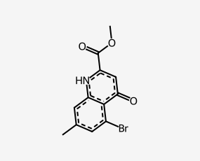 COC(=O)c1cc(=O)c2c(Br)cc(C)cc2[nH]1